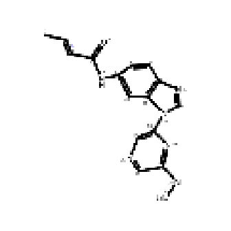 C/C=C/C(=O)Nc1ccc2ncn(-c3cncc(NC(C)(C)C)n3)c2c1